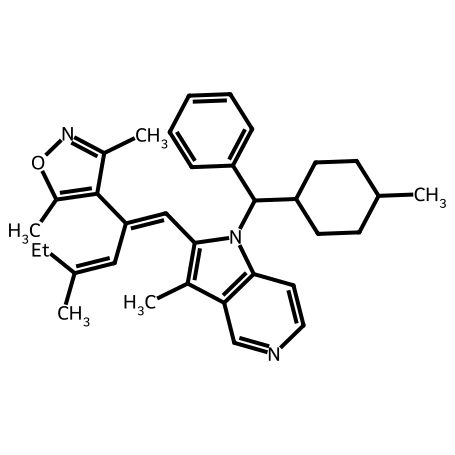 CC/C(C)=C\C(=C/c1c(C)c2cnccc2n1C(c1ccccc1)C1CCC(C)CC1)c1c(C)noc1C